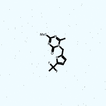 CSc1nc(C)n(Cc2ccc(C(C)(F)F)s2)c(=O)n1